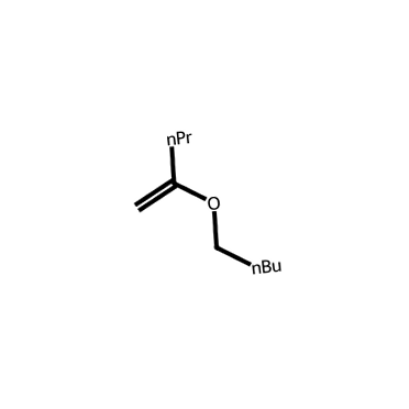 C=C(CCC)OCCCCC